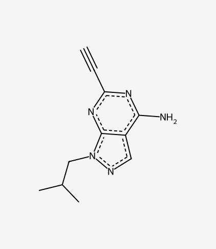 C#Cc1nc(N)c2cnn(CC(C)C)c2n1